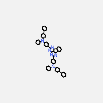 c1ccc(-c2ccc(N(c3ccccc3)c3ccc(-c4nc5c6c(nc(-c7ccc(N(c8ccccc8)c8ccc(-c9ccccc9)cc8)cc7)nc6n4)-c4ccccc4-5)cc3)cc2)cc1